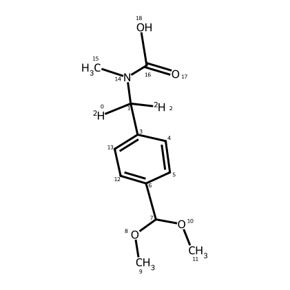 [2H]C([2H])(c1ccc(C(OC)OC)cc1)N(C)C(=O)O